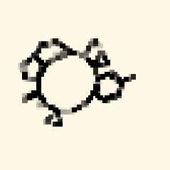 CN1c2ccn3ncc(c3n2)C(=O)NC2(CC2)COc2ccc(F)cc2C12CC2